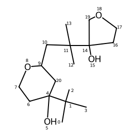 CC(C)(C)C1(O)CCOC(CC(C)(C)C2(O)CCOC2)C1